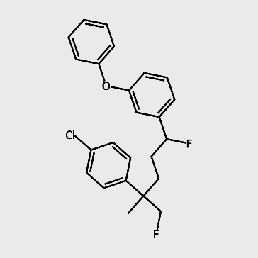 CC(CF)(CCC(F)c1cccc(Oc2ccccc2)c1)c1ccc(Cl)cc1